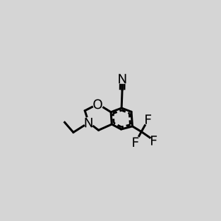 CCN1COc2c(C#N)cc(C(F)(F)F)cc2C1